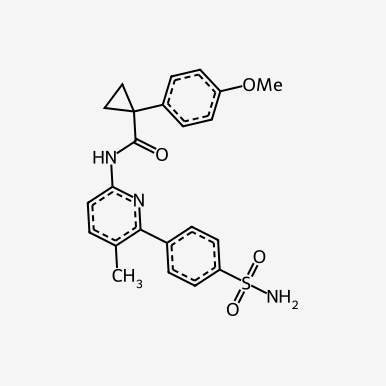 COc1ccc(C2(C(=O)Nc3ccc(C)c(-c4ccc(S(N)(=O)=O)cc4)n3)CC2)cc1